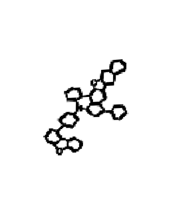 c1ccc(-c2ccc(N(c3ccc(-c4cccc5oc6ccccc6c45)cc3)c3ccccc3-c3cccc4c3oc3cc5ccccc5cc34)cc2)cc1